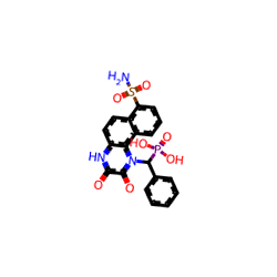 NS(=O)(=O)c1cccc2c1ccc1[nH]c(=O)c(=O)n(C(c3ccccc3)P(=O)(O)O)c12